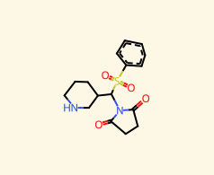 O=C1CCC(=O)N1C(C1CCCNC1)S(=O)(=O)c1ccccc1